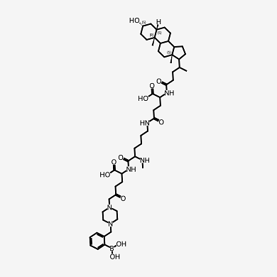 CNC(CCCCNC(=O)CCC(NC(=O)CCC(C)C1CCC2C3CC[C@H]4C[C@@H](O)CC[C@@]4(C)C3CC[C@@]12C)C(=O)O)C(=O)NC(CCC(=O)CN1CCN(Cc2ccccc2B(O)O)CC1)C(=O)O